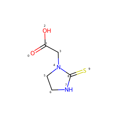 O=C(O)CN1CCNC1=S